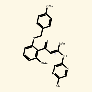 COc1ccc(COc2cccc(OC)c2C(=O)/C=C(/Nc2cnc(C#N)cn2)SC)cc1